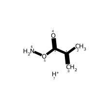 C=C(C)C(=O)ON.[H+]